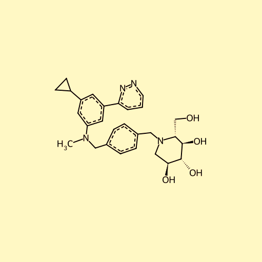 CN(Cc1ccc(CN2C[C@H](O)[C@@H](O)[C@H](O)[C@H]2CO)cc1)c1cc(-c2cccnn2)cc(C2CC2)c1